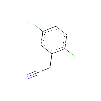 N#CCc1cc(Cl)ccc1Cl